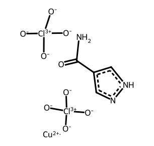 NC(=O)c1cn[nH]c1.[Cu+2].[O-][Cl+3]([O-])([O-])[O-].[O-][Cl+3]([O-])([O-])[O-]